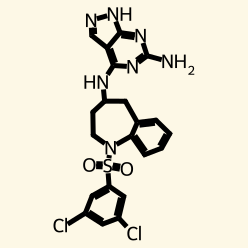 Nc1nc(NC2CCN(S(=O)(=O)c3cc(Cl)cc(Cl)c3)c3ccccc3C2)c2cn[nH]c2n1